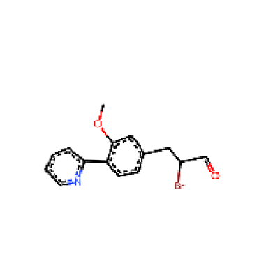 COc1cc(CC(Br)C=O)ccc1-c1ccccn1